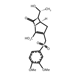 COc1ccc(S(=O)(=O)CC2=C(C(=O)O)N3C(=O)[C@@H]([C@@H](C)O)[C@H]3C2)cc1OC